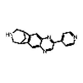 c1cc(-c2cnc3cc4c(cc3n2)C2CNCC4C2)ccn1